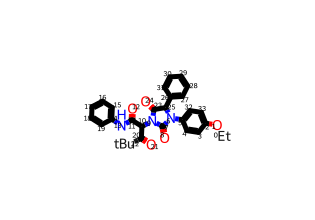 CCOc1ccc(N2C(=O)N(C(C(=O)Nc3ccccc3)C(=O)C(C)(C)C)C(=O)C2c2ccccc2)cc1